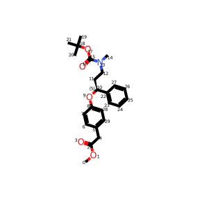 COC(=O)Cc1ccc(O[C@@H](CCN(C)C(=O)OC(C)(C)C)c2ccccc2)cc1